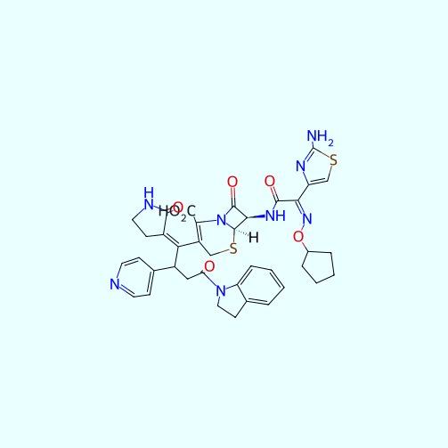 Nc1nc(C(=NOC2CCCC2)C(=O)N[C@@H]2C(=O)N3C(C(=O)O)=C(C(=C4CCNC4=O)C(CC(=O)N4CCc5ccccc54)c4ccncc4)CS[C@H]23)cs1